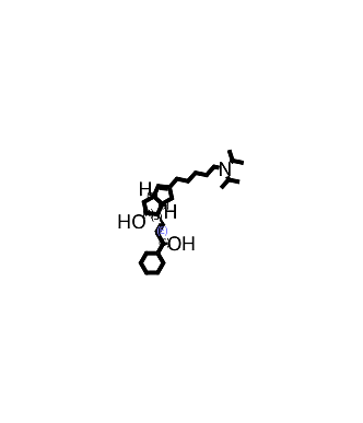 CC(C)N(CCCCCC1=C[C@H]2C[C@@H](O)[C@H](/C=C/[C@@H](O)C3CCCCC3)[C@H]2C1)C(C)C